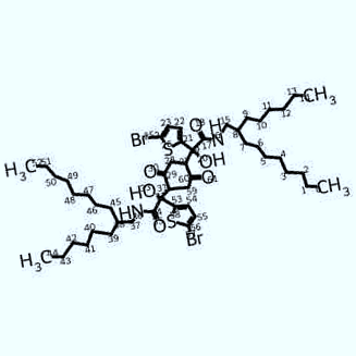 CCCCCCCCC(CCCCCC)CNC(=O)C(O)(c1ccc(Br)s1)C1CC(=O)C(C(O)(C(=O)NCC(CCCCCC)CCCCCCCC)c2ccc(Br)s2)CC1=O